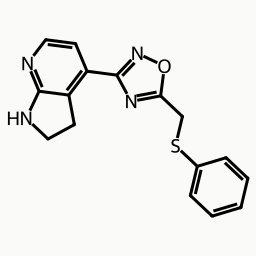 c1ccc(SCc2nc(-c3ccnc4c3CCN4)no2)cc1